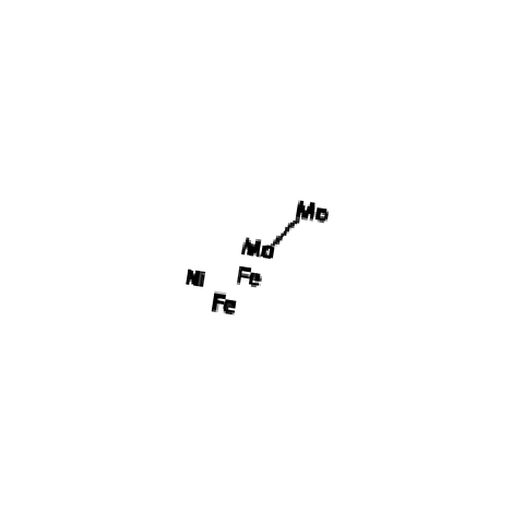 [Fe].[Fe].[Mo][Mo].[Ni]